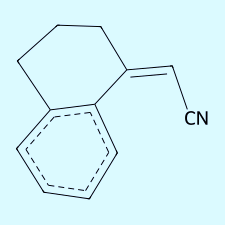 N#C/C=C1/CCCc2ccccc21